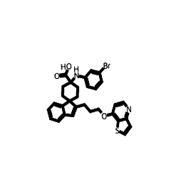 O=C(O)C1(Nc2cccc(Br)c2)CCC2(CC1)C(CCCOc1ccnc3ccsc13)=Cc1ccccc12